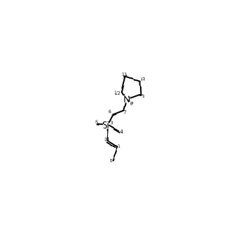 CC=C[Si](C)(C)CCN1CCCC1